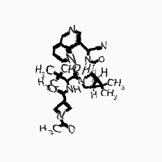 CC(=O)N1CC(C(=O)NC(C(=O)N2C[C@H]3[C@@H]([C@H]2C(=O)NC(C#N)c2cncc4cccnc24)C3(C)C)C(C)(C)C)C1